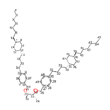 CCCCCCC[C@H]1CC[C@H](CCCCc2ccc(CO[C@H](C)[C@@H](C)OCc3ccc(CCCC[C@H]4CC[C@H](CCCCCCC)CC4)cc3)cc2)CC1